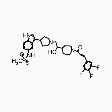 CS(=O)(=O)Nc1ccc2[nH]cc(C3CCN(CC(O)C4CCN(C(=O)/C=C/c5cc(F)c(F)c(F)c5)CC4)CC3)c2c1